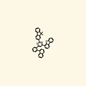 CC1(C)c2ccccc2-c2ccc(-c3nc(-c4ccccc4-c4cccc5ccccc45)cc(-c4cccc5c4sc4ccccc45)n3)cc21